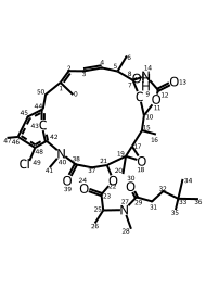 C/C1=C\C=C\C(C)C2(O)CC(OC(=O)N2)C(C)C2OC2(C)C(OC(=O)C(C)N(C)C(=O)CCC(C)(C)C)CC(=O)N(C)c2cc(cc(C)c2Cl)C1